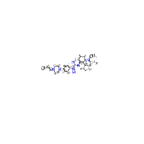 CN(C)c1ccc2cnc(Nc3ccc(N4CCN(CC=O)CC4)cc3)nc2c1C1CCCC1